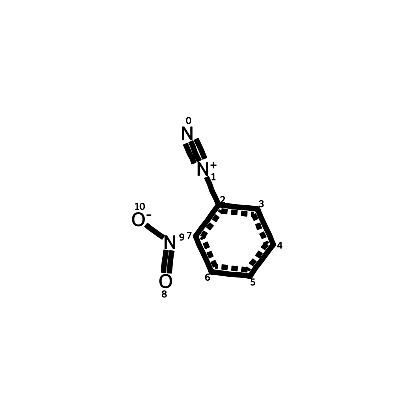 N#[N+]c1ccccc1.O=N[O-]